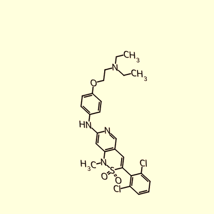 CCN(CC)CCOc1ccc(Nc2cc3c(cn2)C=C(c2c(Cl)cccc2Cl)S(=O)(=O)N3C)cc1